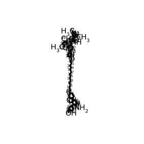 CCc1c(-c2ccc(OCCCCCCCCCCCCCCOc3ccn(-c4ccc(C(=O)NS(=O)(=O)c5cn(C)nc5C)c(N5C[C@@H](C)CC5(C)C)n4)n3)cc2)cnc(N)c1-c1ccc(O)cc1